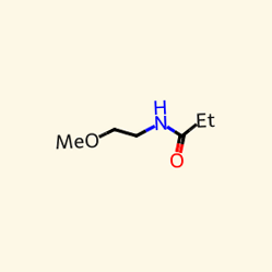 [CH2]CC(=O)NCCOC